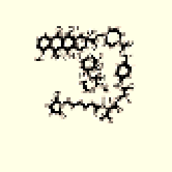 COc1cccc2c1C(=N)c1c(O)c3c(c(O)c1C2=O)C[C@@](O)(C(=O)CN1CCCN(C(=O)OCc2ccc(NC(=O)[C@H](C)NC(=O)[C@@H](NC(=O)CCCCCN4C(=O)C=CC4=O)C(C)C)cc2)CC1)C[C@@H]3O[C@H]1C[C@H]2[C@H](O[C@@H]3[C@@H](OC)OCCN32)[C@H](C)O1